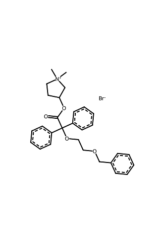 C[N+]1(C)CCC(OC(=O)C(OCCOCc2ccccc2)(c2ccccc2)c2ccccc2)C1.[Br-]